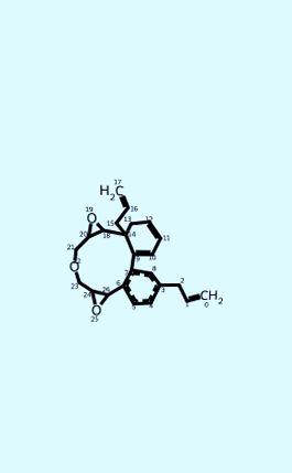 C=CCc1ccc2c(c1)C1=CC=CCC1(CC=C)C1OC1COCC1OC21